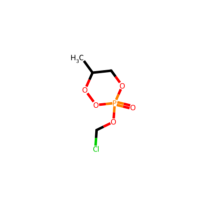 CC1COP(=O)(OCCl)OO1